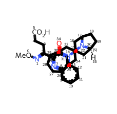 CON=C(CCC(=O)O)c1nc2ccccc2n(C2CC3CC[C@@H](C2)N3C2CC3CCCCC(C3)C2)c1=O